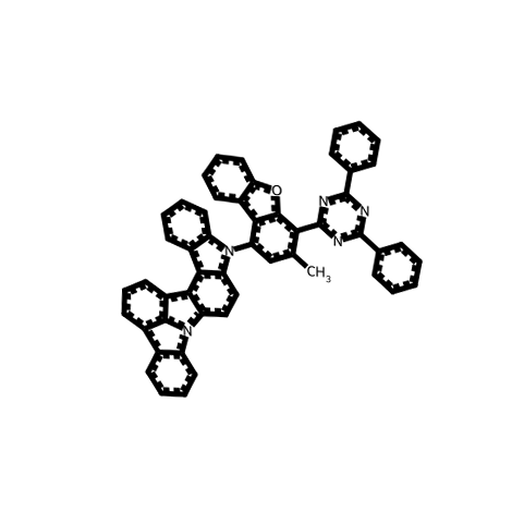 Cc1cc(-n2c3ccccc3c3c4c5cccc6c7ccccc7n(c4ccc32)c65)c2c(oc3ccccc32)c1-c1nc(-c2ccccc2)nc(-c2ccccc2)n1